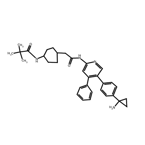 CC(C)(C)C(=O)NC1CCC(CC(=O)Nc2cc(-c3ccccc3)c(-c3ccc(C4(N)CC4)cc3)cn2)CC1